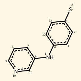 [S]c1ccc(Nc2cccnc2)cc1